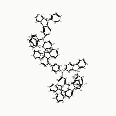 c1ccc(N(c2ccc3c(c2)c2ccccc2n3-c2ccccc2)c2cccc3c2-n2c4ccccc4c4cccc(c42)C32c3ccccc3-c3c(-c4ccc(N(c5ccc6c(c5)-n5c7ccccc7c7cccc(c75)C65c6ccccc6-c6ccccc65)c5ccc6c7ccccc7n(-c7ccccc7)c6c5)cc4)cccc32)cc1